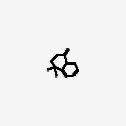 O=C1CCC(F)(F)c2ccccc21